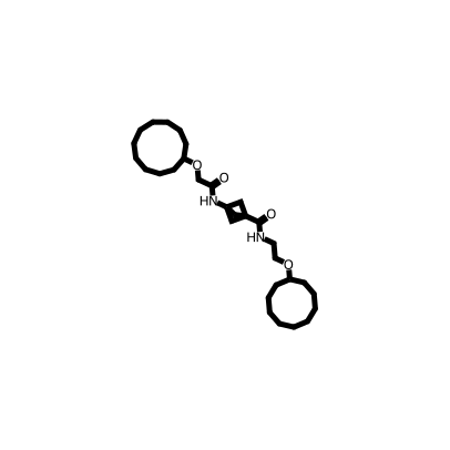 O=C(COC1CCCCCCCCCC1)NC12CC(C(=O)NCCOC3CCCCCCCCC3)(C1)C2